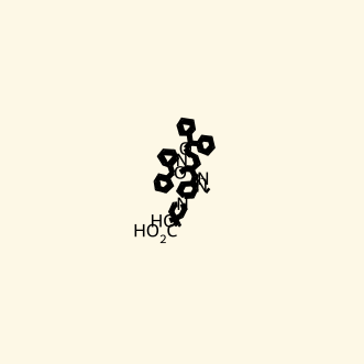 Cn1nc(-c2ccc(OC(c3ccccc3)c3ccccc3)nc2OC(c2ccccc2)c2ccccc2)c2ccc(N3CCC(O)(CC(=O)O)CC3)cc21